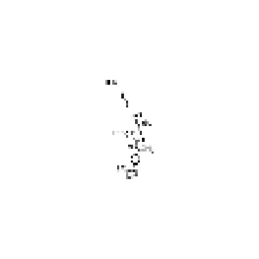 Cc1ncsc1-c1ccc([C@H](C)NC(=O)[C@@H]2C[C@@H](O)CN2C(=O)C(NC(=O)CCCCCCCCN)C(C)(C)C)cc1